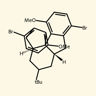 COc1ccc(Br)c2c1C13c4c(OC)ccc(Br)c4C[C@@H]1CC(C(C)(C)C)C[C@H]3C2